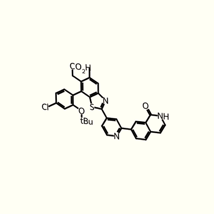 Cc1cc2nc(-c3ccnc(-c4ccc5cc[nH]c(=O)c5c4)c3)sc2c(-c2ccc(Cl)cc2OC(C)(C)C)c1CC(=O)O